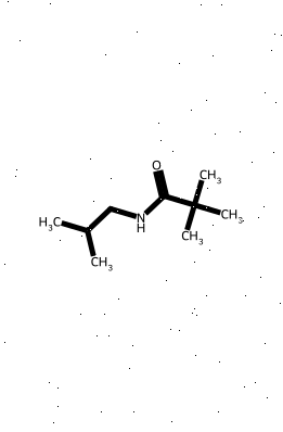 C[C](C)CNC(=O)C(C)(C)C